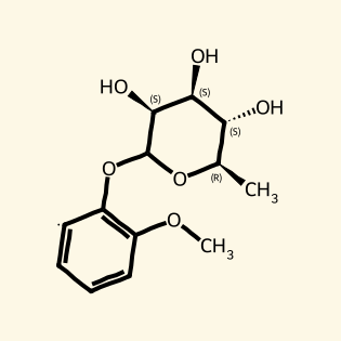 COc1ccc[c]c1OC1O[C@H](C)[C@@H](O)[C@H](O)[C@@H]1O